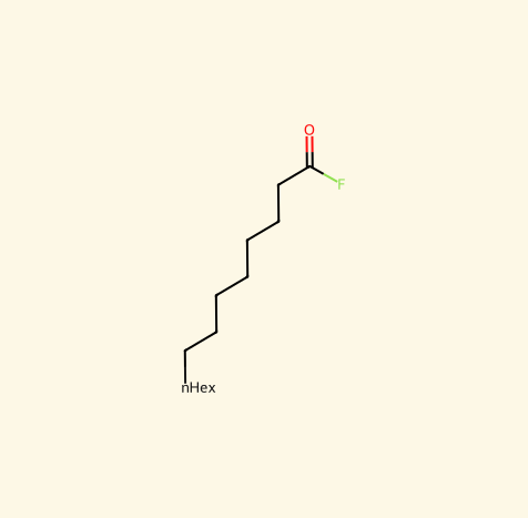 CCCCCCCCCCCCCC(=O)F